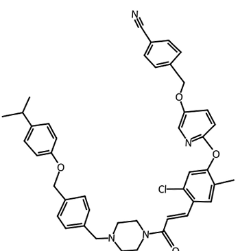 Cc1cc(C=CC(=O)N2CCN(Cc3ccc(COc4ccc(C(C)C)cc4)cc3)CC2)c(Cl)cc1Oc1ccc(OCc2ccc(C#N)cc2)cn1